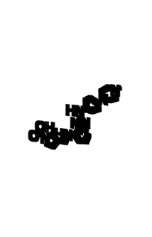 CN1CCN(c2ccc(Nc3nc4c(NCC5CCN(C(=O)O)C5)cccn4n3)cc2)CC1